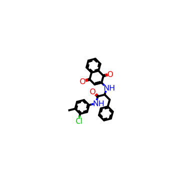 Cc1ccc(NC(=O)C(Cc2ccccc2)NC2=CC(=O)c3ccccc3C2=O)cc1Cl